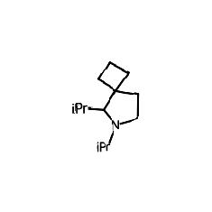 CC(C)C1N(C(C)C)CCC12CCC2